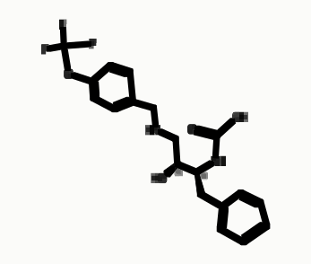 O=C(O)N[C@@H](Cc1ccccc1)[C@@H](O)CNCc1ccc(OC(F)(F)F)cc1